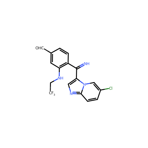 N=C(c1ccc(C=O)cc1NCC(F)(F)F)c1cnc2ccc(Cl)cn12